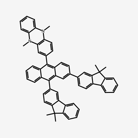 CN1c2ccccc2N(C)c2cc(-c3c4ccccc4c(-c4ccc5c(c4)-c4ccccc4C5(C)C)c4cc(-c5ccc6c(c5)C(C)(C)c5ccccc5-6)ccc34)ccc21